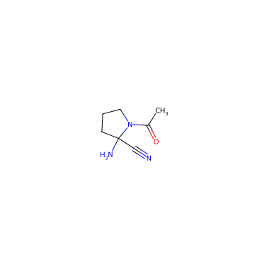 CC(=O)N1CCCC1(N)C#N